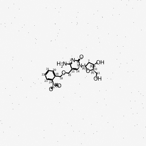 Nc1nc(=O)n([C@H]2C[C@@H](O)[C@@H](CO)O2)cc1COCc1ccccc1[N+](=O)[O-]